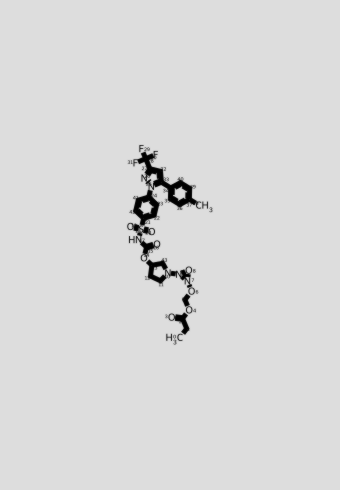 CCC(=O)OCOn1on1N1CCC(OC(=O)NS(=O)(=O)c2ccc(-n3nc(C(F)(F)F)cc3-c3ccc(C)cc3)cc2)C1